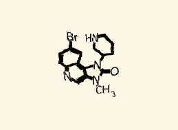 Cn1c(=O)n(C2CCCNC2)c2c3cc(Br)ccc3ncc21